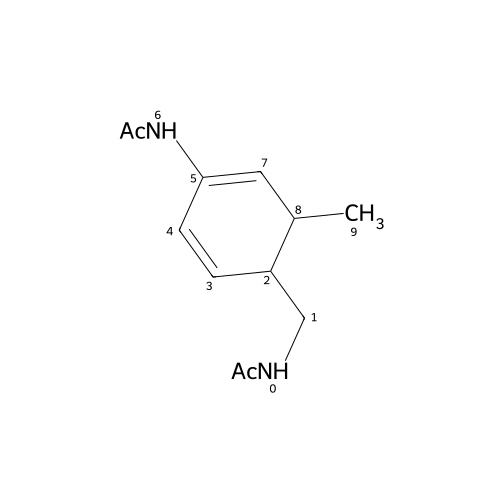 CC(=O)NCC1C=CC(NC(C)=O)=CC1C